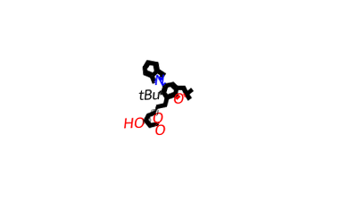 CC1(C)Cc2cc(N3Cc4ccccc4C3)c(C(C)(C)C)c(CC[C@@H]3C[C@@H](O)CC(=O)O3)c2O1